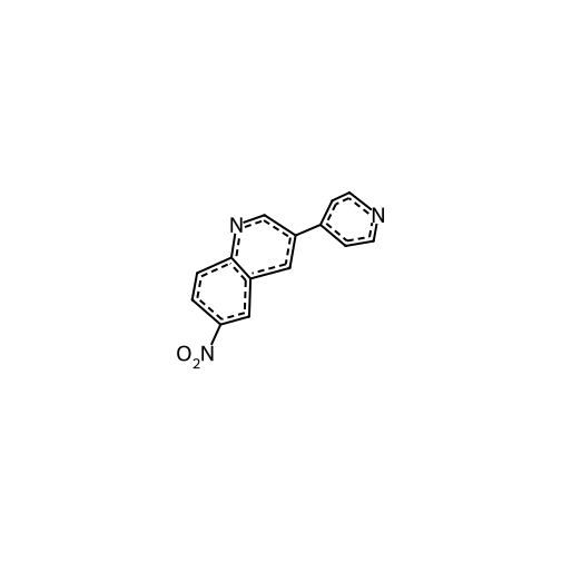 O=[N+]([O-])c1ccc2ncc(-c3ccncc3)cc2c1